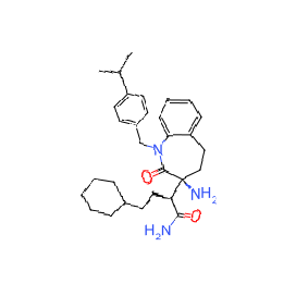 CC(C)c1ccc(CN2C(=O)[C@@](N)([C@H](CCC3CCCCC3)C(N)=O)CCc3ccccc32)cc1